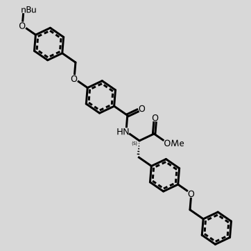 CCCCOc1ccc(COc2ccc(C(=O)N[C@@H](Cc3ccc(OCc4ccccc4)cc3)C(=O)OC)cc2)cc1